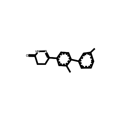 Cc1cccc(-c2ccc(C3=NNC(=O)CC3)cc2C)c1